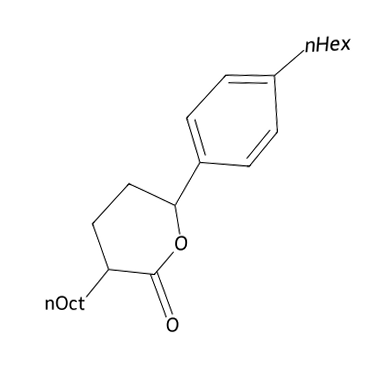 CCCCCCCCC1CCC(c2ccc(CCCCCC)cc2)OC1=O